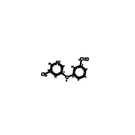 O=Cc1cccc(Oc2cncc(Cl)c2)c1